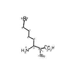 CC(C)(C)N(C(=O)O)C(N)CCCCBr